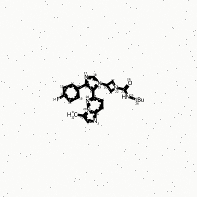 Cc1cnc2ccc(-c3c(-c4ccc(F)cc4)ncn3C3CN(C(=O)NC(C)(C)C)C3)nn12